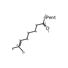 CCCCCC(=O)CCCCC=C(C)C